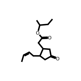 C/C=C\CC1CC(=O)CC1CC(=O)OC(C)CC